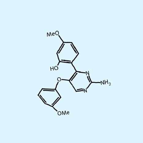 COc1cccc(Oc2cnc(N)nc2-c2ccc(OC)cc2O)c1